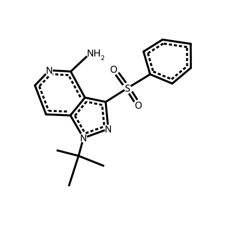 CC(C)(C)n1nc(S(=O)(=O)c2ccccc2)c2c(N)nccc21